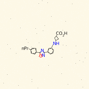 CCCc1ccc(-c2nc(-c3cccc(CNC4CC(C(=O)O)C4)c3)no2)cc1